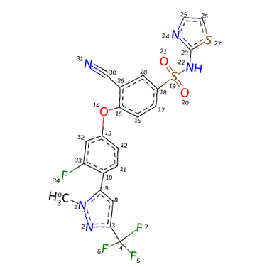 Cn1nc(C(F)(F)F)cc1-c1ccc(Oc2ccc(S(=O)(=O)Nc3nccs3)cc2C#N)cc1F